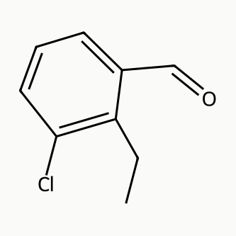 CCc1c(Cl)cccc1C=O